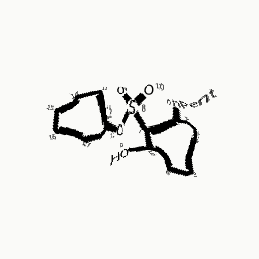 CCCCCc1cccc(O)c1S(=O)(=O)Oc1ccccc1